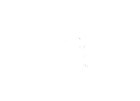 O=C(CNC1=Nc2ccc(C(F)(F)F)cc2C(c2ccccc2Cl)=NC1)CN1C(=O)c2ccccc2C1=O